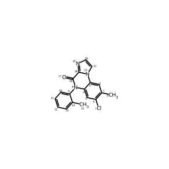 Cc1cc2c(cc1Cl)n(-c1ccccc1C)c(=O)c1nccn12